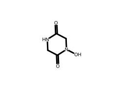 O=C1CN(O)C(=O)CN1